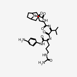 CC(C)C(=NC(=O)CCC(=O)N1C2CCC1CC(C(=O)O)C2)C(=O)N=C(CCCNC(N)=O)C(=O)Nc1ccc(N)cc1